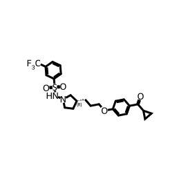 O=C(c1ccc(OCCC[C@@H]2CCN(NS(=O)(=O)c3cccc(C(F)(F)F)c3)C2)cc1)C1CC1